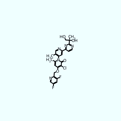 Cc1cnc(-c2ccnc([C@@](C)(O)CO)n2)cc1-n1c(C)cc(OCc2ncc(F)cc2F)c(Cl)c1=O